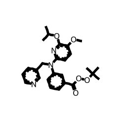 COc1ccc(N(Cc2cccnc2)c2cccc(C(=O)OOC(C)(C)C)c2)nc1OC(C)C